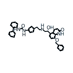 O=C(Nc1ccc(CCNC[C@H](O)c2ccc(OCc3ccccc3)c3[nH]c(=O)ccc23)cc1)Nc1ccccc1-c1ccccc1